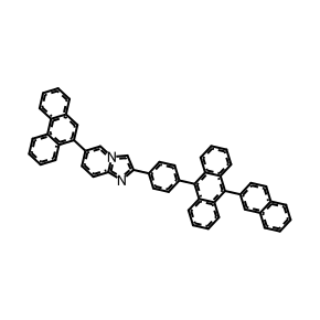 c1ccc2cc(-c3c4ccccc4c(-c4ccc(-c5cn6cc(-c7cc8ccccc8c8ccccc78)ccc6n5)cc4)c4ccccc34)ccc2c1